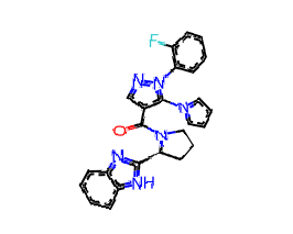 O=C(c1cnn(-c2ccccc2F)c1-n1cccc1)N1CCC[C@H]1c1nc2ccccc2[nH]1